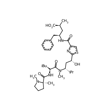 CC[C@H](C)[C@H](NC(=O)[C@@]1(C)CCCN1C)C(=O)N(C)[C@H](C[C@@H](O)c1nc(C(=O)N[C@@H](Cc2ccccc2)C[C@H](C)C(=O)O)cs1)C(C)C